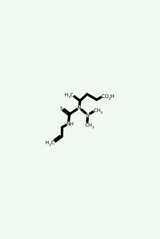 C=CCNC(=S)N(C(C)CCC(=O)O)N(C)C